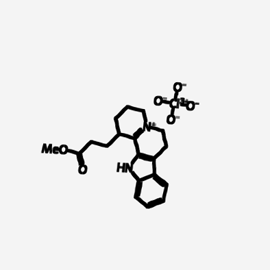 COC(=O)CCC1CCC[N+]2=C1c1[nH]c3ccccc3c1CC2.[O-][Cl+3]([O-])([O-])[O-]